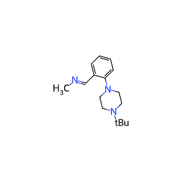 C/N=C/c1ccccc1N1CCN(C(C)(C)C)CC1